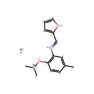 Cc1ccc(O[SiH](C)C)c(N=Cc2ccco2)c1.[H+]